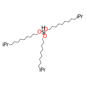 CC(C)CCCCCCCCCO[SiH](OCCCCCCCCCC(C)C)OCCCCCCCCCC(C)C